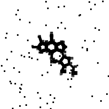 Cc1nc2n(C)c3c(ncn3[C@@H]3O[C@H](CO)[C@@H](O)[C@H]3O)c(=O)n2c1C